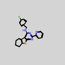 Fc1ccc(CNc2nc(-c3ccccn3)nc3sc4c(c23)CCCC4)cc1